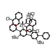 Cl.Cl.[CH2]=[Zr]([C]1=CC=CC1)([c]1c2c(cc(C(C)(C)C)c1-c1ccccc1)-c1cc(C(C)(C)C)c(-c3ccccc3)cc1C2)([c]1ccc(Cl)c2ccccc12)[c]1ccc(Cl)c2ccccc12